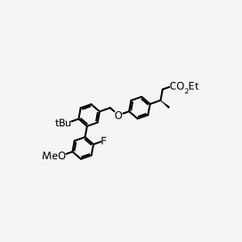 CCOC(=O)C[C@@H](C)c1ccc(OCc2ccc(C(C)(C)C)c(-c3cc(OC)ccc3F)c2)cc1